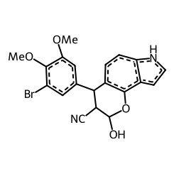 COc1cc(C2c3ccc4[nH]ccc4c3OC(O)C2C#N)cc(Br)c1OC